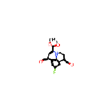 COC(=O)C1=CC(=C=O)c2cc(F)cc3c2N1CCC3=C=O